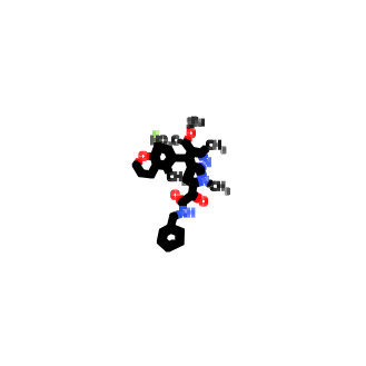 Cc1nc2c(cc(C(=O)C(=O)NCc3ccccc3)n2C)c(-c2cc(F)c3c(c2C)CCCO3)c1[C@H](OC(C)(C)C)C(=O)O